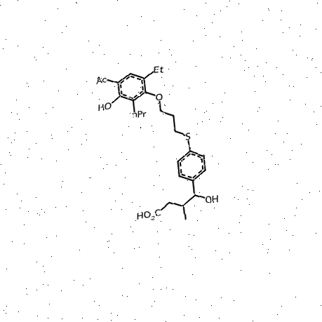 CCCc1c(O)c(C(C)=O)cc(CC)c1OCCCSc1ccc(C(O)C(C)CC(=O)O)cc1